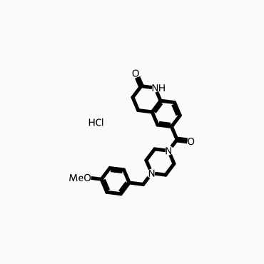 COc1ccc(CN2CCN(C(=O)c3ccc4c(c3)CCC(=O)N4)CC2)cc1.Cl